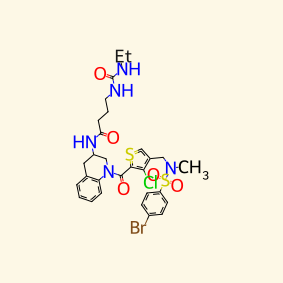 CCNC(=O)NCCCC(=O)NC1Cc2ccccc2N(C(=O)c2scc(CN(C)S(=O)(=O)c3ccc(Br)cc3)c2Cl)C1